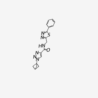 O=C(NCc1nnc(-c2ccccc2)s1)c1cn(C23CC(C2)C3)nn1